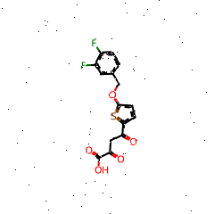 O=C(O)C(=O)CC(=O)c1ccc(OCc2ccc(F)c(F)c2)s1